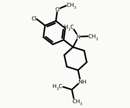 COc1cc(C2(N(C)C)CCC(NC(C)C)CC2)ccc1Cl